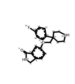 O=C1NCc2ccc(OCC3(c4ccc(F)cc4)CCNCC3)cc21